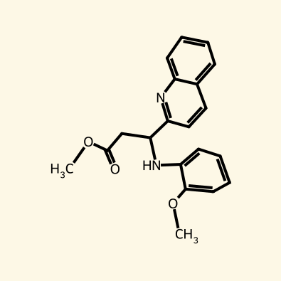 COC(=O)CC(Nc1ccccc1OC)c1ccc2ccccc2n1